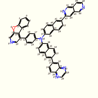 c1ccc2c(c1)oc1cncc(-c3ccc(N(c4ccc5cc(-c6ccc7nccnc7c6)ccc5c4)c4ccc5cc(-c6cc7cnccc7cn6)ccc5c4)cc3)c12